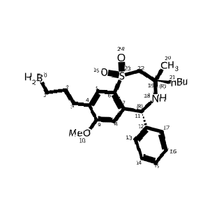 BCCCc1cc2c(cc1OC)[C@@H](c1ccccc1)N[C@](C)(CCCC)CS2(=O)=O